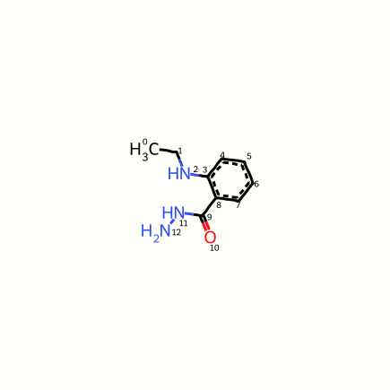 CCNc1ccccc1C(=O)NN